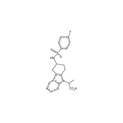 CC(C(=O)O)n1c2c(c3cnccc31)CC(NS(=O)(=O)c1ccc(F)cc1)CC2